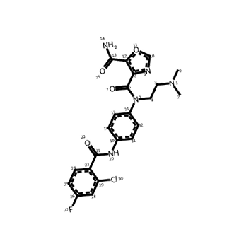 CN(C)CCN(C(=O)c1ncoc1C(N)=O)c1ccc(NC(=O)c2ccc(F)cc2Cl)cc1